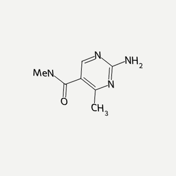 CNC(=O)c1cnc(N)nc1C